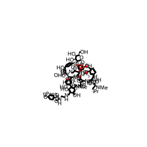 CCCCCOc1ccc(S(=O)(=O)NCCNCc2c(O)cc([C@H](NC)C(=O)O)c(-c3cc([C@H]4NC(=O)[C@@H]5NC(=O)[C@H](CC(N)=O)NC(=O)[C@H](NC(=O)[C@@H](CC(C)C)NC)[C@H](O)c6ccc(c(C)c6)Oc6cc5cc(c6O[C@@H]5O[C@H](CO)[C@@H](O)[C@H](O)[C@H]5O[C@H]5C[C@](C)(CC(=O)CN)[C@H](O)[C@H](C)O5)Oc5ccc(cc5Cl)[C@@H](O)[C@@H](C=O)NC4=O)ccc3O)c2O)cc1